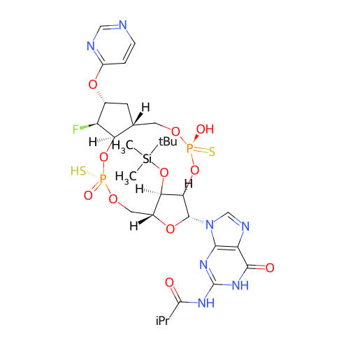 CC(C)C(=O)Nc1nc2c(ncn2[C@@H]2O[C@@H]3CO[P@](=O)(S)O[C@@H]4[C@@H](CO[P@](O)(=S)O[C@@H]2[C@@H]3O[Si](C)(C)C(C)(C)C)C[C@@H](Oc2ccncn2)[C@@H]4F)c(=O)[nH]1